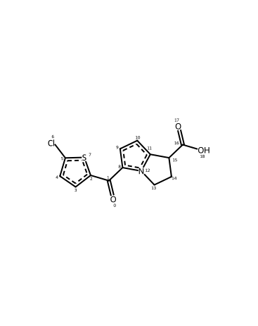 O=C(c1ccc(Cl)s1)c1ccc2n1CCC2C(=O)O